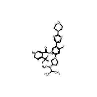 CC(C)N(C)[C@@H]1CCN(c2cc(F)c(-c3cnc(N4CCOCC4)nc3)cc2NC(=O)C2=CNCC=C2C(F)(F)F)C1